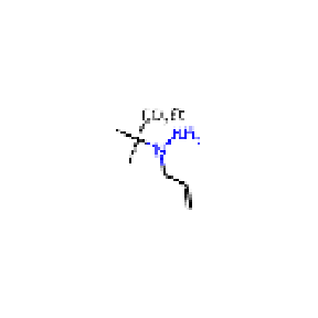 C=CCN(N)C(C)(C)C(=O)OCC